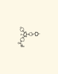 Cc1ccc(N2CCN(c3nc(N4CCOCC4)c(F)c(N4CCN(C(=O)OC(C)(C)C)CC4)n3)CC2)cc1